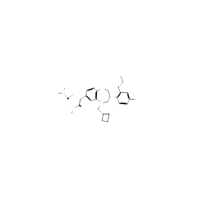 CCCc1cc(Cl)ccc1[C@@H]1COc2ccc([C@@H](CC(=O)N(C)C)C(=O)OC)cc2N(CC2CCC2)C1